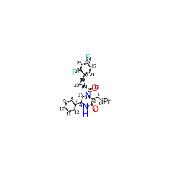 CC(C)C[C@H]1C(=O)N[C@@H](c2ccccc2)CN1C(=O)[C@@H]1C[C@H]1c1ccc(F)cc1F